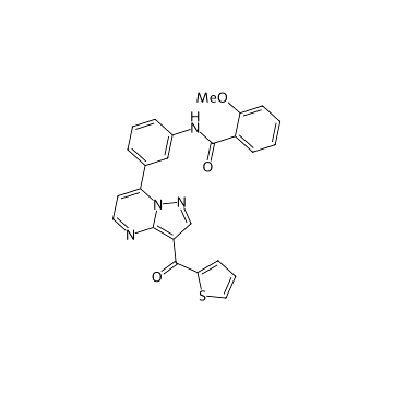 COc1ccccc1C(=O)Nc1cccc(-c2ccnc3c(C(=O)c4cccs4)cnn23)c1